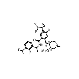 CO[C@@H]1CN(C)CC[C@@H]1Nc1cc(=O)n(C2(C(F)F)CC2)cc1C(=O)NC(C)c1cccc(C(F)F)c1F